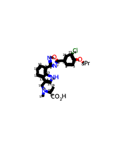 CC(C)Oc1ccc(-c2nc(-c3cccc4c(CN(C)[C@H](C)C(=O)O)c[nH]c34)no2)cc1Cl